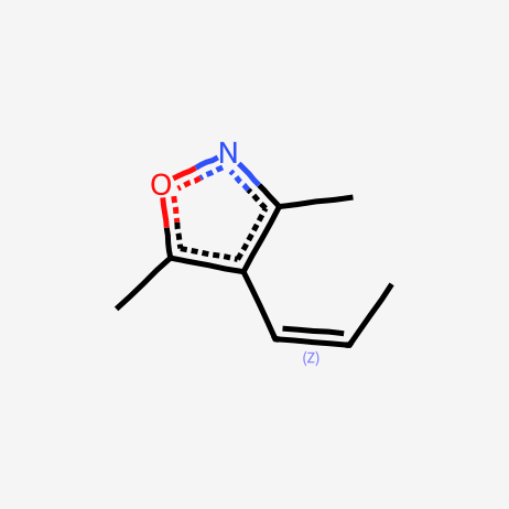 C/C=C\c1c(C)noc1C